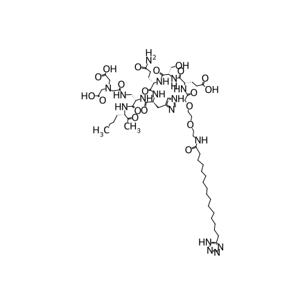 CCCC[C@H](NC(=O)[C@H](CNC(=O)CN(CC(=O)O)CC(=O)O)NC(=O)[C@H](Cc1c[nH]cn1)NC(=O)[C@H](CCC(N)=O)NC(=O)[C@H](CO)NC(=O)[C@H](CCC(=O)O)NC(=O)COCCOCCNC(=O)CCCCCCCCCCCCCCCc1nnn[nH]1)C(C)=O